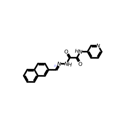 O=C(N/N=C/c1ccc2ccccc2c1)C(=O)Nc1cccnc1